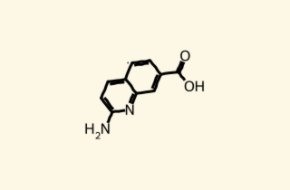 Nc1ccc2[c]cc(C(=O)O)cc2n1